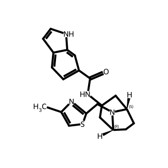 Cc1csc(CN2[C@@H]3CC[C@H]2CC(NC(=O)c2ccc4cc[nH]c4c2)C3)n1